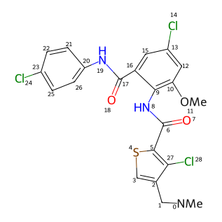 CNCc1csc(C(=O)Nc2c(OC)cc(Cl)cc2C(=O)Nc2ccc(Cl)cc2)c1Cl